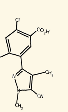 Cc1c(-c2cc(C(=O)O)c(Cl)cc2F)nn(C)c1C#N